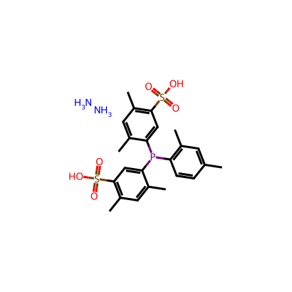 Cc1ccc(P(c2cc(S(=O)(=O)O)c(C)cc2C)c2cc(S(=O)(=O)O)c(C)cc2C)c(C)c1.N.N